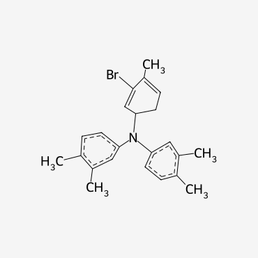 CC1=CCC(N(c2ccc(C)c(C)c2)c2ccc(C)c(C)c2)C=C1Br